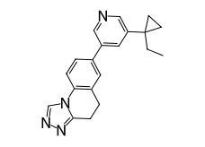 CCC1(c2cncc(-c3ccc4c(c3)CCc3nncn3-4)c2)CC1